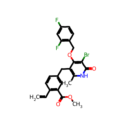 C=Cc1ccc(Cc2c(C)[nH]c(=O)c(Br)c2OCc2ccc(F)cc2F)cc1C(=O)OC